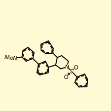 CNc1cccc(-c2cccc(C3CN(S(=O)(=O)c4ccccc4)CCC3c3ccccc3)c2)c1